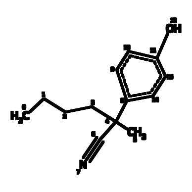 CCCCC(C)(C#N)c1ccc(O)cc1